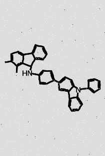 Cc1ccc2c(c1C)C(Nc1ccc(-c3ccc4c(c3)c3ccccc3n4-c3ccccc3)cc1)c1ccccc1-2